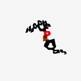 C=C(C)CC(C)OSc1ccc(C)cc1